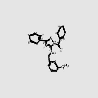 Cc1cccc(CNc2nc(-c3ccccc3)nn2C(=O)c2ccccc2)c1